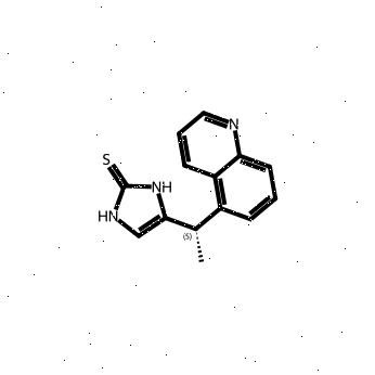 C[C@H](c1c[nH]c(=S)[nH]1)c1cccc2ncccc12